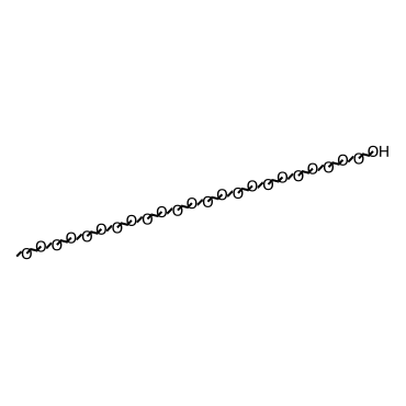 CCOCCOCCOCCOCCOCCOCCOCCOCCOCCOCCOCCOCCOCCOCCOCCOCCOCCOCCOCCOCCOCCOCCOCCO